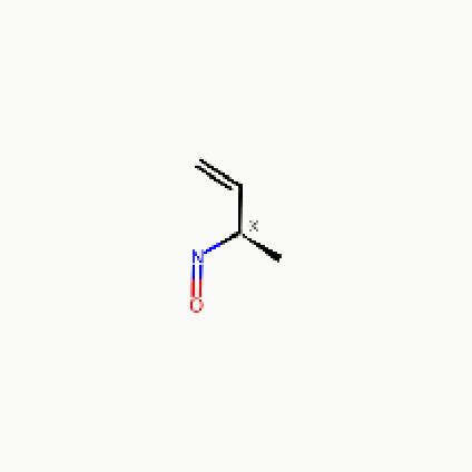 C=C[C@@H](C)N=O